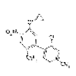 Cc1cc([N+](=O)[O-])c(OC2CC2)cc1C1=CCN(C)C=C1Cl